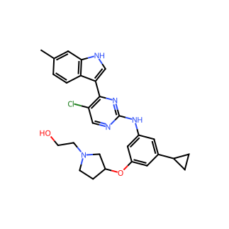 Cc1ccc2c(-c3nc(Nc4cc(OC5CCN(CCO)C5)cc(C5CC5)c4)ncc3Cl)c[nH]c2c1